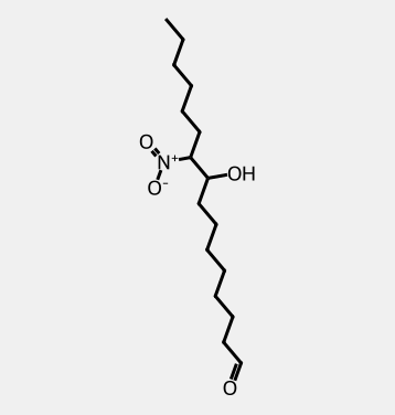 CCCCCCC(C(O)CCCCCCCC=O)[N+](=O)[O-]